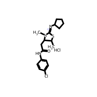 CC1S/C(=N\C2CCCC2)N(C)C1CC(=O)Nc1ccc(Cl)cc1.Cl